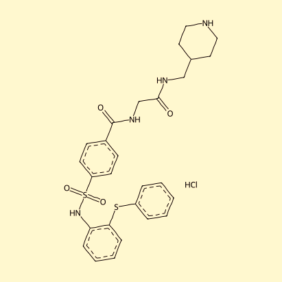 Cl.O=C(CNC(=O)c1ccc(S(=O)(=O)Nc2ccccc2Sc2ccccc2)cc1)NCC1CCNCC1